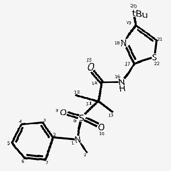 CN(c1ccccc1)S(=O)(=O)C(C)(C)C(=O)Nc1nc(C(C)(C)C)cs1